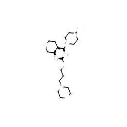 CN1CCN(c2nc(OCCCN3CCOCC3)nc3c2CCNC3)CC1